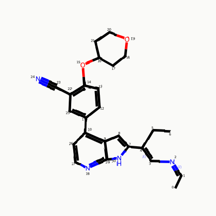 C/C=N\C=C(/CC)c1cc2c(-c3ccc(OC4CCOCC4)c(C#N)c3)ccnc2[nH]1